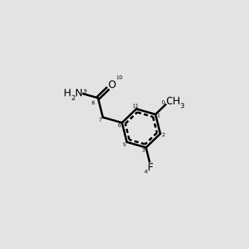 Cc1cc(F)cc(CC(N)=O)c1